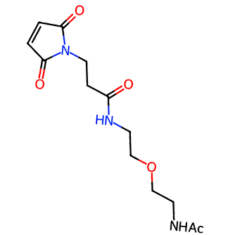 CC(=O)NCCOCCNC(=O)CCN1C(=O)C=CC1=O